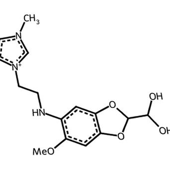 COc1cc2c(cc1NCC[n+]1ccn(C)c1)OC(C(O)O)O2